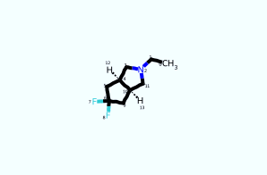 CCN1C[C@@H]2CC(F)(F)C[C@@H]2C1